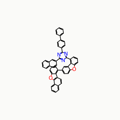 c1ccc(-c2ccc(-c3nc(-c4ccc5ccccc5c4)nc(-c4cccc5oc6ccc(-c7cccc8oc9c%10ccccc%10ccc9c78)cc6c45)n3)cc2)cc1